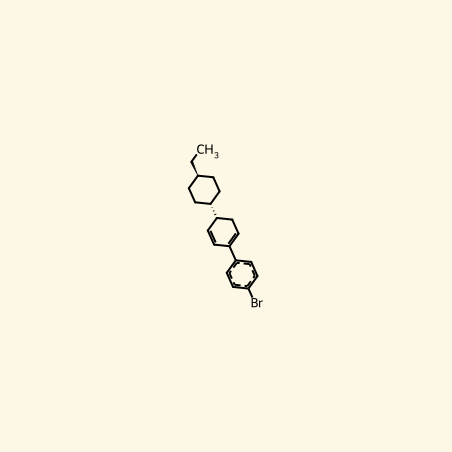 CC[C@H]1CC[C@H](C2C=CC(c3ccc(Br)cc3)=CC2)CC1